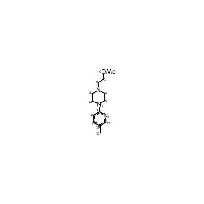 COCCN1CCN(c2ccc(C)cn2)CC1